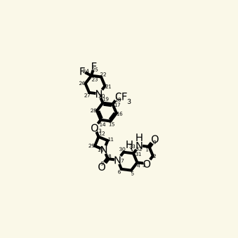 O=C1COC2CCN(C(=O)N3CC(Oc4ccc(C(F)(F)F)c(N5CCC(F)(F)CC5)c4)C3)C[C@H]2N1